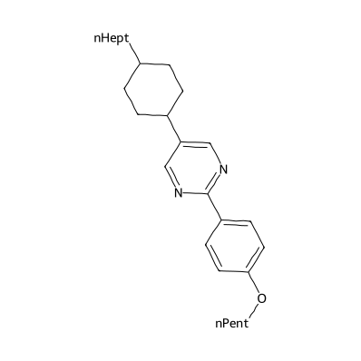 CCCCCCCC1CCC(c2cnc(-c3ccc(OCCCCC)cc3)nc2)CC1